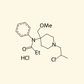 CCC(=O)N(c1ccccc1)C1(COC)CCN(CC(C)Cl)CC1.Cl